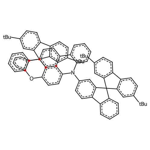 CC(C)(C)c1ccc2c(c1)C1(c3ccccc3Oc3ccc(N(c4ccc5c(c4)C4(c6ccccc6-5)c5cc(C(C)(C)C)ccc5-c5ccc(C(C)(C)C)cc54)c4ccccc4-c4ccc(-c5ccccc5)cc4)cc31)c1cc(C(C)(C)C)ccc1-2